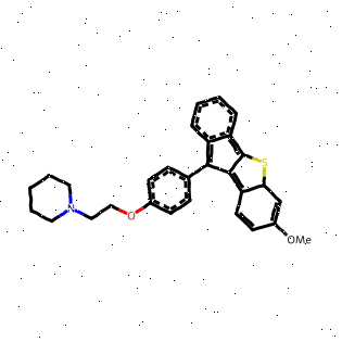 COC1=CC2SC3=c4ccccc4=C(c4ccc(OCCN5CCCCC5)cc4)C3=C2C=C1